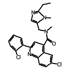 CCc1ncc(CN(C)C(=O)c2cc(-c3ccccc3Cl)nc3ccc(Cl)cc23)n1C